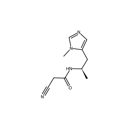 C[C@H](Cc1cncn1C)NC(=O)CC#N